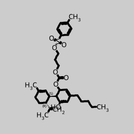 C=C(C)[C@@H]1CCC(C)=C[C@H]1C1C(O)=CC(CCCCC)=CC1OC(=O)OCCCOS(=O)(=O)c1ccc(C)cc1